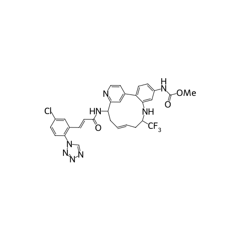 COC(=O)Nc1ccc2c(c1)NC(C(F)(F)F)C/C=C/CC(NC(=O)/C=C/c1cc(Cl)ccc1-n1cnnn1)c1cc-2ccn1